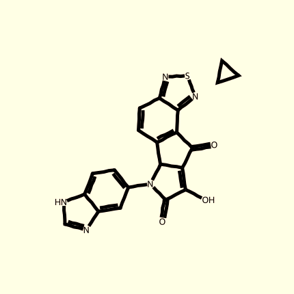 C1CC1.O=C1C2=C(O)C(=O)N(c3ccc4[nH]cnc4c3)C2c2ccc3nsnc3c21